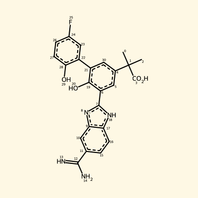 CC(C)(C(=O)O)c1cc(-c2nc3cc(C(=N)N)ccc3[nH]2)c(O)c(-c2cc(F)ccc2O)c1